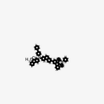 CC1(C)c2ccccc2-c2ccc(N(c3ccc(-c4ccccc4)cc3)c3ccc4c(ccc5cc(-c6ccc7c(c6)-c6ccccc6C76c7ccccc7N(c7ccccc7)c7ccccc76)ccc54)c3)cc21